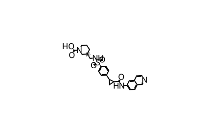 O=C(Nc1ccc2cnccc2c1)C1CC1c1ccc(S(=O)(=O)NC[C@@H]2CCCN(C(=O)O)C2)cc1